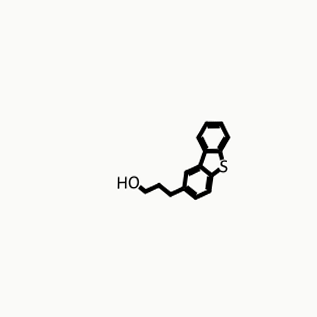 OCCCc1ccc2sc3ccccc3c2c1